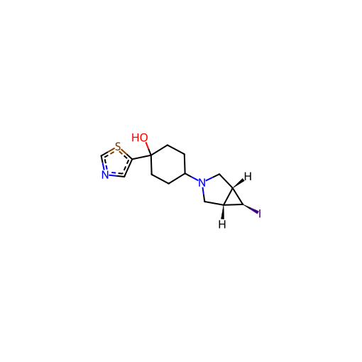 OC1(c2cncs2)CCC(N2C[C@@H]3[C@@H](I)[C@@H]3C2)CC1